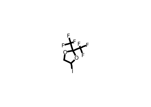 FC(F)(F)C1(C(F)(F)F)OCC(I)O1